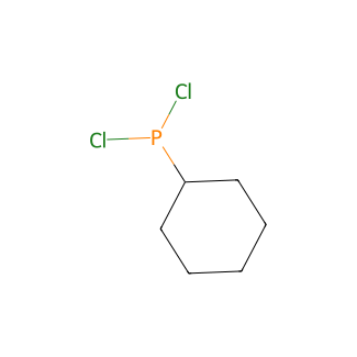 ClP(Cl)C1CCCCC1